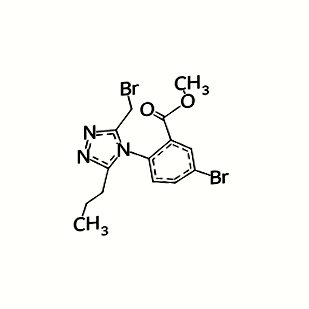 CCCc1nnc(CBr)n1-c1ccc(Br)cc1C(=O)OC